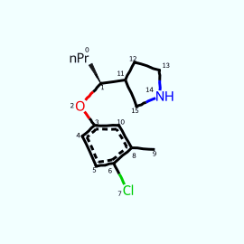 CCC[C@H](Oc1ccc(Cl)c(C)c1)C1CCNC1